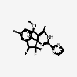 COC(=O)C1=C(C)NC(c2nccs2)=NC12c1ccc(F)cc1C(F)C2(F)F